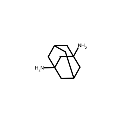 NC12[CH]C3(N)CC(CC(C1)C3)C2